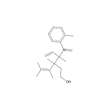 C=CC(C)([N+](=C)c1ccccc1C)C(C)(CCO)C(C)=C(C)C